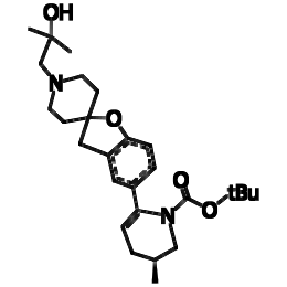 C[C@H]1CC=C(c2ccc3c(c2)CC2(CCN(CC(C)(C)O)CC2)O3)N(C(=O)OC(C)(C)C)C1